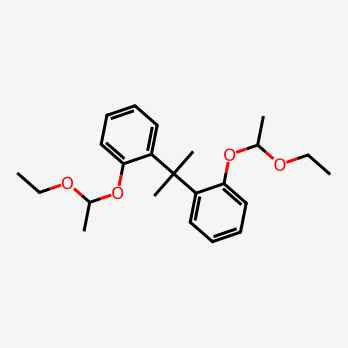 CCOC(C)Oc1ccccc1C(C)(C)c1ccccc1OC(C)OCC